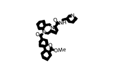 COC(=O)c1ccccc1-c1ccc(C(=O)N2Cc3ccc(C(=O)NCc4cccnc4)n3Cc3ccccc32)cc1